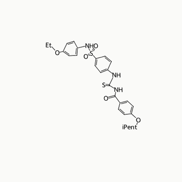 CCCC(C)Oc1ccc(C(=O)NC(=S)Nc2ccc(S(=O)(=O)Nc3ccc(OCC)cc3)cc2)cc1